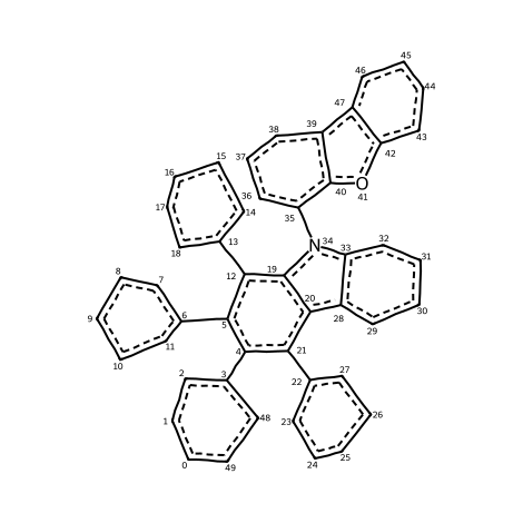 c1ccc(-c2c(-c3ccccc3)c(-c3ccccc3)c3c(c2-c2ccccc2)c2ccccc2n3-c2cccc3c2oc2ccccc23)cc1